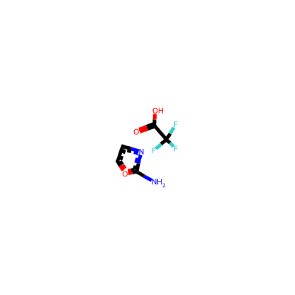 Nc1ncco1.O=C(O)C(F)(F)F